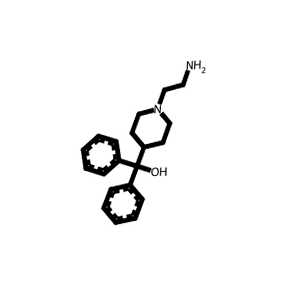 NCCN1CCC(C(O)(c2ccccc2)c2ccccc2)CC1